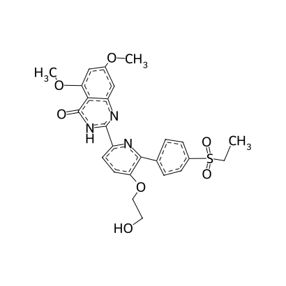 CCS(=O)(=O)c1ccc(-c2nc(-c3nc4cc(OC)cc(OC)c4c(=O)[nH]3)ccc2OCCO)cc1